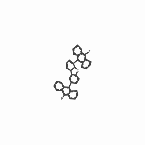 Fc1c2ccccc2c(C2=CC=CC3c4cc(-c5c6ccccc6c(F)c6ccccc56)ccc4OC23)c2ccccc12